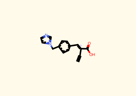 C#C/C(=C\c1ccc(Cn2ccnc2)cc1)C(=O)O